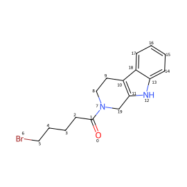 O=C(CCCCBr)N1CCc2c([nH]c3ccccc23)C1